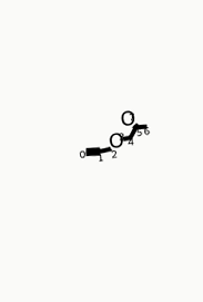 C#CCOCC(C)=O